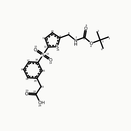 CC(C)(C)OC(=O)NCc1ccc(S(=O)(=O)c2cccc(CC(=O)O)c2)s1